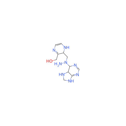 NN(CC1NC=CN=C1CO)C1N=CN=C2NCNC21